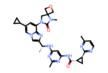 Cc1ccnc([C@H]2C[C@@H]2C(=O)Nc2cc(N[C@H](C)c3cn4cc(C5CC5)cc(N5CC6(COC6)N(C)C5=O)c4n3)nc(C)n2)n1